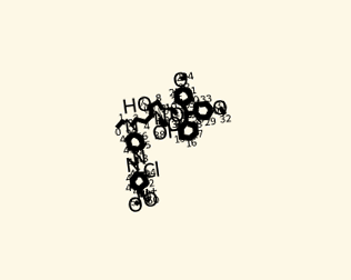 CCN(CCC1[C@H](O)C[C@@H](COC(c2ccccc2)(c2ccc(OC)cc2)c2ccc(OC)cc2)N1C(=O)O)c1ccc(N=Nc2ccc([N+](=O)[O-])cc2Cl)cc1